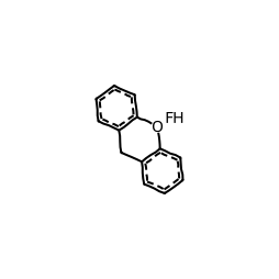 F.c1ccc2c(c1)Cc1ccccc1O2